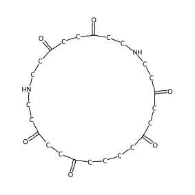 O=C1CCCCC(=O)CCC(=O)CCNCCC(=O)CCC(=O)CCNCCC(=O)CC1